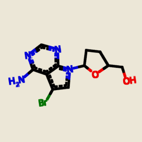 Nc1ncnc2c1c(Br)cn2C1CCC(CO)O1